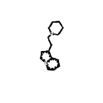 c1ccn2ccc(CCN3CCCCC3)c2c1